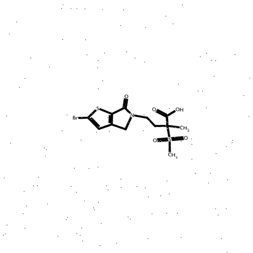 CC(CCN1Cc2cc(Br)sc2C1=O)(C(=O)O)S(C)(=O)=O